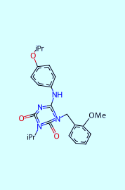 COc1ccccc1Cn1c(Nc2ccc(OC(C)C)cc2)nc(=O)n(C(C)C)c1=O